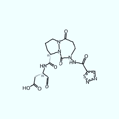 O=C[C@H](CC(=O)O)NC(=O)[C@@H]1CCCN2C(=O)CCN(NC(=O)c3cnns3)C(=O)N12